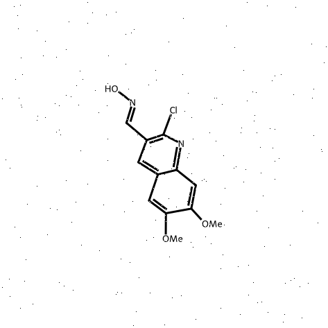 COc1cc2cc(C=NO)c(Cl)nc2cc1OC